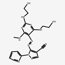 CNc1nc(NCCO)nc(NCCO)c1/N=N/c1c(C#N)cnn1-c1ccccn1